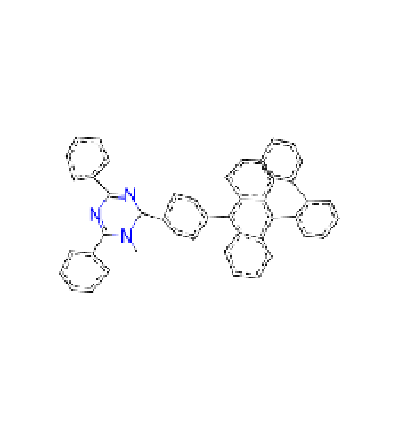 CN1C(c2ccccc2)=NC(c2ccccc2)=NC1c1ccc(-c2c3ccccc3c(-c3ccccc3-c3ccccc3)c3ccccc23)cc1